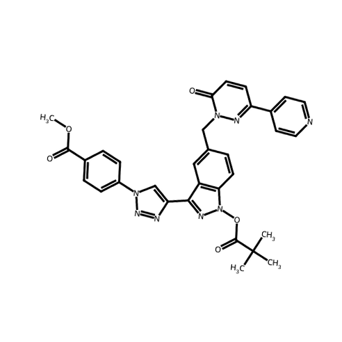 COC(=O)c1ccc(-n2cc(-c3nn(OC(=O)C(C)(C)C)c4ccc(Cn5nc(-c6ccncc6)ccc5=O)cc34)nn2)cc1